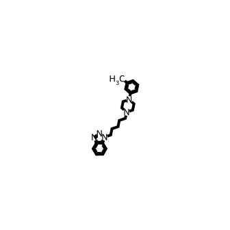 Cc1cccc(N2CCN(CCCCCn3nnc4ccccc43)CC2)c1